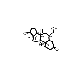 C[C@]12CCC(=O)CC1[C@H](CO)C[C@@H]1[C@@H]2CC[C@]2(C)C(=O)CC[C@@H]12